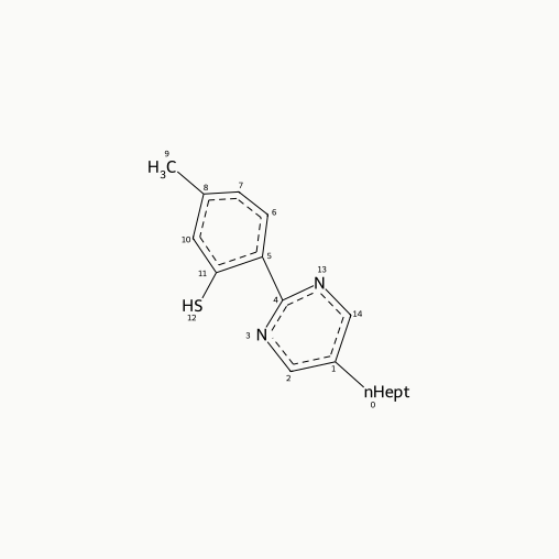 CCCCCCCc1cnc(-c2ccc(C)cc2S)nc1